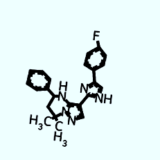 CC1(C)CC(c2ccccc2)Nc2c(-c3nc(-c4ccc(F)cc4)c[nH]3)cnn21